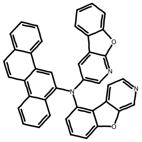 c1ccc2c(c1)ccc1c3ccccc3c(N(c3cnc4oc5ccccc5c4c3)c3cccc4oc5cnccc5c34)cc21